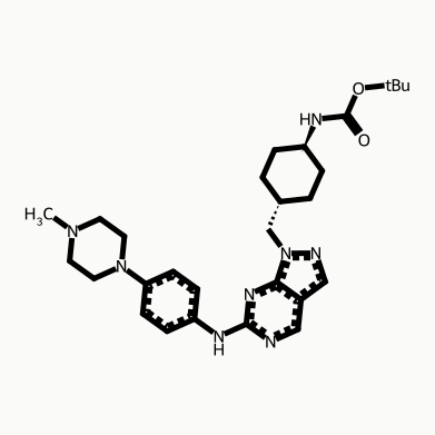 CN1CCN(c2ccc(Nc3ncc4cnn(C[C@H]5CC[C@H](NC(=O)OC(C)(C)C)CC5)c4n3)cc2)CC1